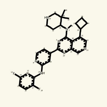 CN(c1nc(-c2ccnc(Nc3nc(F)ccc3F)c2)nc2cncc(C3CCC3)c12)C1CCNCC1(C)C